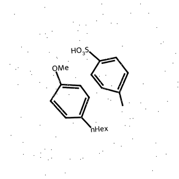 CCCCCCc1ccc(OC)cc1.Cc1ccc(S(=O)(=O)O)cc1